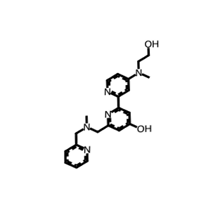 CN(Cc1ccccn1)Cc1cc(O)cc(-c2cc(N(C)CCO)ccn2)n1